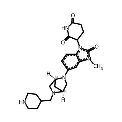 Cn1c(=O)n(C2CCC(=O)NC2=O)c2ccc(N3C[C@@H]4C[C@H]3CN4CC3CCNCC3)cc21